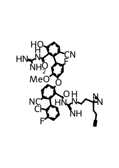 C#CCCC1(CCNC(=N)NC(=O)c2c(Oc3cc(F)c(-c4c(C#N)ccc(O)c4C(=O)NC(=N)N)cc3OC)ccc(C#N)c2-c2cccc(F)c2Cl)N=N1